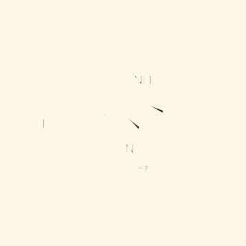 CCN1C[C@]2(CCN[C@H]2c2ccccc2)c2cc(Cl)ccc21